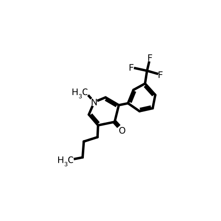 CCCCc1cn(C)cc(-c2cccc(C(F)(F)F)c2)c1=O